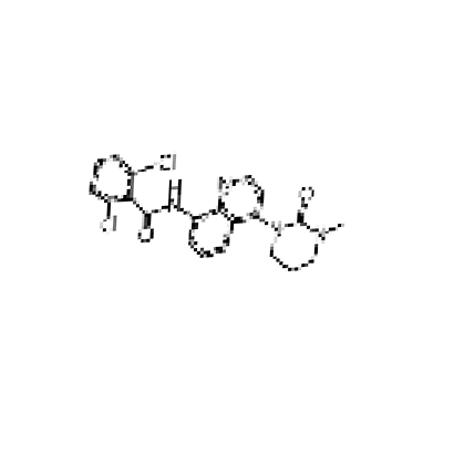 CN1CCCN(c2ccnc3c(NC(=O)c4c(Cl)cccc4Cl)cccc23)C1=O